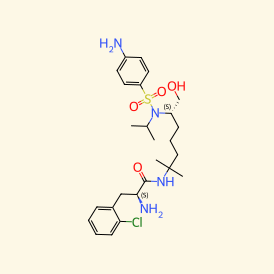 CC(C)N([C@H](CO)CCCC(C)(C)NC(=O)[C@@H](N)Cc1ccccc1Cl)S(=O)(=O)c1ccc(N)cc1